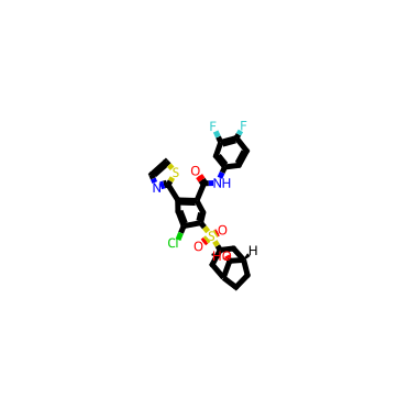 C[C@@]1(O)C2CC[C@H]1CC(S(=O)(=O)c1cc(C(=O)Nc3ccc(F)c(F)c3)c(-c3nccs3)cc1Cl)C2